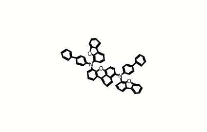 c1ccc(-c2ccc(N(c3cccc4c3Oc3ccc(N(c5ccc(-c6ccccc6)cc5)c5cccc6c5oc5ccccc56)c5cccc-4c35)c3cccc4c3oc3ccccc34)cc2)cc1